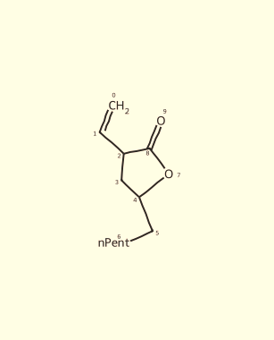 C=CC1CC(CCCCCC)OC1=O